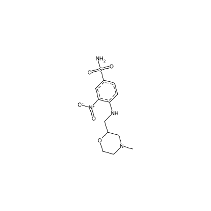 CN1CCOC(CNc2ccc(S(N)(=O)=O)cc2[N+](=O)[O-])C1